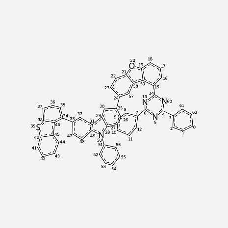 c1ccc(-c2nc(-c3ccccc3)nc(-c3cccc4oc5ccc(-c6ccc7c(c6)c6cc(-c8cccc9sc%10ccccc%10c89)ccc6n7-c6ccccc6)cc5c34)n2)cc1